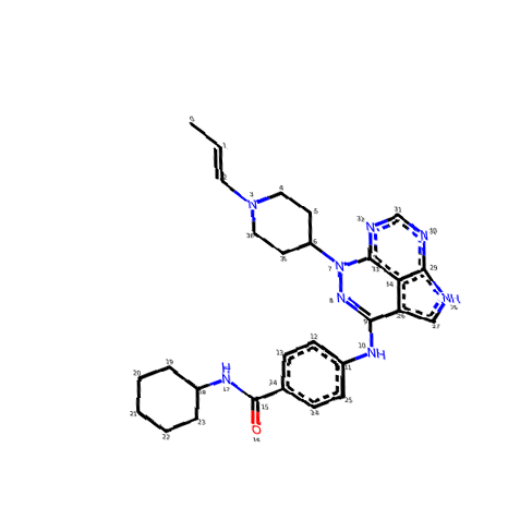 CC=CN1CCC(N2N=C(Nc3ccc(C(=O)NC4CCCCC4)cc3)c3c[nH]c4ncnc2c34)CC1